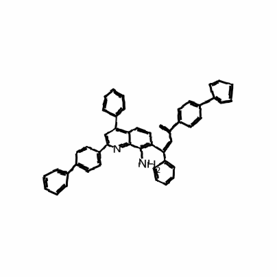 C=C(/C=C(/c1ccccc1)c1ccc2c(-c3ccccc3)cc(-c3ccc(-c4ccccc4)cc3)nc2c1N)c1ccc(-c2ccccc2)cc1